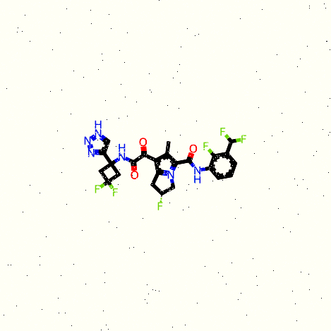 Cc1c(C(=O)C(=O)NC2(c3c[nH]nn3)CC(F)(F)C2)c2n(c1C(=O)Nc1cccc(C(F)F)c1F)C[C@H](F)C2